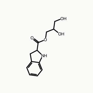 O=C(OCC(O)CO)C1Cc2ccccc2N1